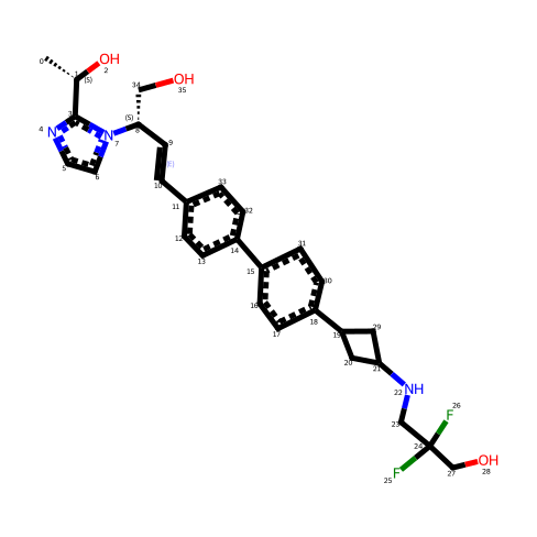 C[C@H](O)c1nccn1[C@@H](/C=C/c1ccc(-c2ccc(C3CC(NCC(F)(F)CO)C3)cc2)cc1)CO